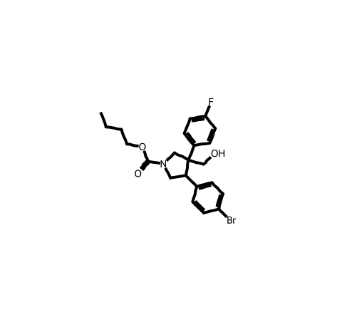 CCCCOC(=O)N1CC(c2ccc(Br)cc2)C(CO)(c2ccc(F)cc2)C1